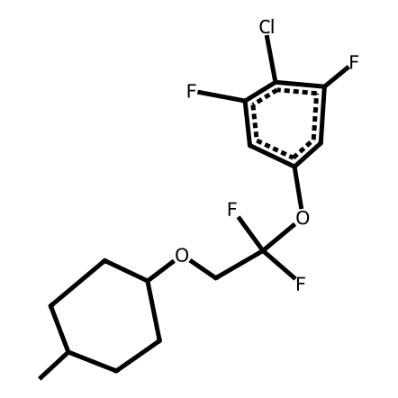 CC1CCC(OCC(F)(F)Oc2cc(F)c(Cl)c(F)c2)CC1